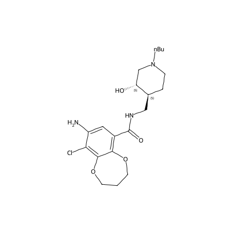 CCCCN1CC[C@@H](CNC(=O)c2cc(N)c(Cl)c3c2OCCCO3)[C@H](O)C1